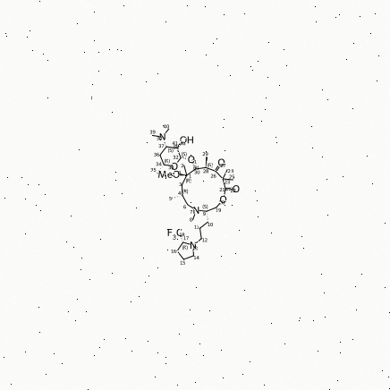 CO[C@]1(C)C[C@@H](C)CN(C)[C@@H](CCCN2CCC[C@@H]2C(F)(F)F)COC(=O)C(C)(C)C(=O)[C@H](C)[C@H]1O[C@@H]1O[C@H](C)C[C@H](N(C)C)[C@H]1O